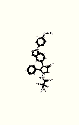 COc1ccc(-n2ncc3cc(N4C(=O)C[C@H](NC(=O)C(C)(F)F)[C@H]4c4ccccc4)ccc32)cn1